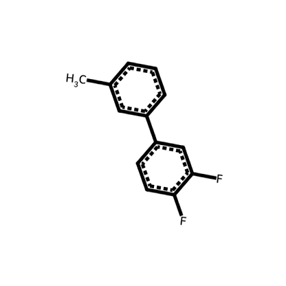 Cc1cccc(-c2ccc(F)c(F)c2)c1